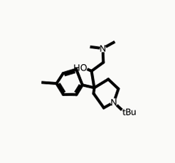 Cc1ccc(C2(C(O)CN(C)C)CCN(C(C)(C)C)CC2)cc1